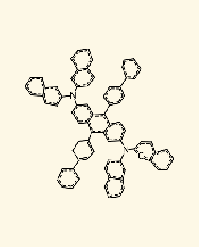 C1=C(c2ccccc2)CCC(c2c3cc(N(c4ccc5ccccc5c4)c4ccc5ccccc5c4)ccc3c(-c3ccc(-c4ccccc4)cc3)c3cc(N(c4ccc5ccccc5c4)c4ccc5ccccc5c4)ccc23)=C1